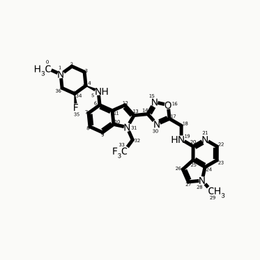 CN1CC[C@@H](Nc2cccc3c2cc(-c2noc(CNc4nccc5c4ccn5C)n2)n3CC(F)(F)F)[C@@H](F)C1